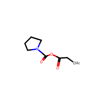 CC(=O)OCC(=O)OC(=O)N1CCCC1